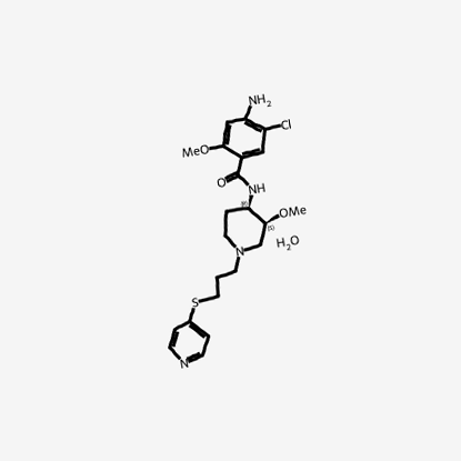 COc1cc(N)c(Cl)cc1C(=O)N[C@@H]1CCN(CCCSc2ccncc2)C[C@@H]1OC.O